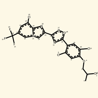 CC(O)COc1cc(Cl)c(-c2nc(-c3cn4cc(C(F)(F)F)cc(Cl)c4n3)no2)cc1Cl